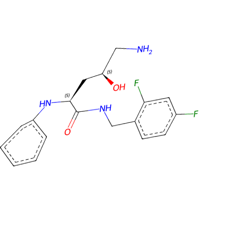 NC[C@@H](O)C[C@H](Nc1ccccc1)C(=O)NCc1ccc(F)cc1F